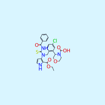 CCOC(=O)c1[nH]ccc1N(Cc1ccc(Cl)cc1C1COCCN1C(=O)O)C(=S)NC(=O)c1ccccc1